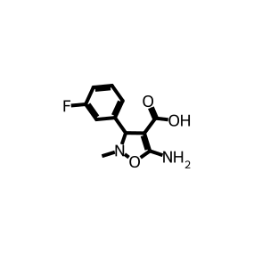 CN1OC(N)=C(C(=O)O)C1c1cccc(F)c1